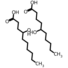 CCCCCC(O)CCCC(=O)O.CCCCCCC(O)CCC(=O)O